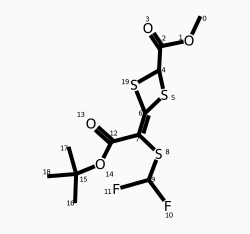 COC(=O)C1SC(=C(SC(F)F)C(=O)OC(C)(C)C)S1